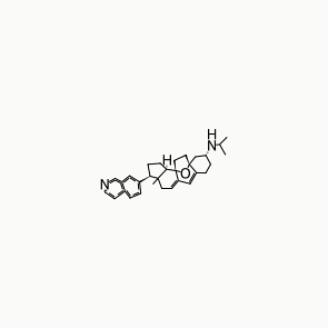 CC(C)N[C@@H]1CCC2=CC3=CCC4(C)[C@@H](c5ccc6ccncc6c5)CC[C@H]4[C@@]34CC[C@]2(C1)O4